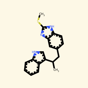 CSc1nc2cc(CC(C)c3c[nH]c4ccccc34)ccc2[nH]1